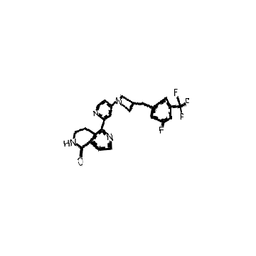 O=C1NCCc2c1ccnc2-c1cc(N2CC(Cc3cc(F)cc(C(F)(F)F)c3)C2)ccn1